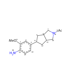 COc1cc(C2CC3CN(C(C)=O)CC3C2)ccc1N